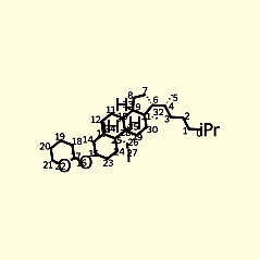 CC(C)CCC[C@@H](C)[C@H]1CC[C@H]2[C@@H]3CC=C4C[C@@H](OC5CCCCO5)CC[C@]4(CI)[C@H]3CC[C@]12C